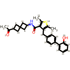 CC(=O)C1CC2(CC(NC(=O)c3c(C)sc(C)c3Cc3ccc(-c4ccccc4O)cc3)C2)C1